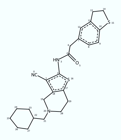 N#Cc1c(NC(=O)Cc2ccc3c(c2)CCS3)sc2c1CN(CC1CCCCC1)CC2